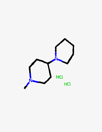 CN1CCC(N2CCCCC2)CC1.Cl.Cl